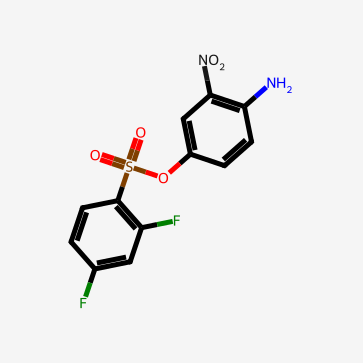 Nc1ccc(OS(=O)(=O)c2ccc(F)cc2F)cc1[N+](=O)[O-]